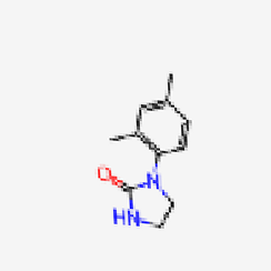 Cc1ccc(N2CCNC2=O)c(C)c1